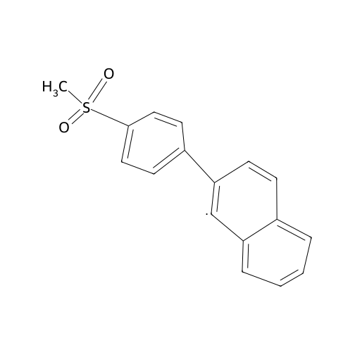 CS(=O)(=O)c1ccc(-c2[c]c3ccccc3cc2)cc1